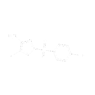 Cc1ccc(S(=O)(=O)n2cc(Br)c(N)n2)cc1